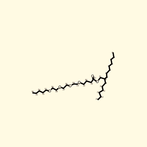 CCCCCCCCC(CCCCCC)COC(=O)CCCOCCOCCOCCOCCCCC